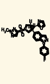 Cn1ncc(S(=O)(=O)N2C[C@H]3[C@H](c4ncco4)[C@@]3(c3ccc4c(cnn4-c4ccc(F)cc4)c3)C2)n1